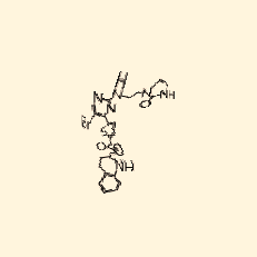 O=C1NCCN1CCNc1ncc(Br)c(-c2ccc(S(=O)(=O)C3CCc4ccccc4N3)s2)n1